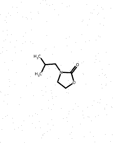 CC(C)CN1CCOC1=O